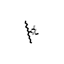 CCCCCCC(CCCCCC)[C@H](CC(F)F)SSCC